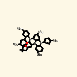 CC1(C)Cc2cc3c(cc2C1)N(c1ccc(C(C)(C)C)cc1-c1cccc(C(C)(C)C)c1)c1cc(C(C)(C)C)cc2c1B3c1cc(C(C)(C)C)ccc1N2c1ccc(C(C)(C)C)cc1